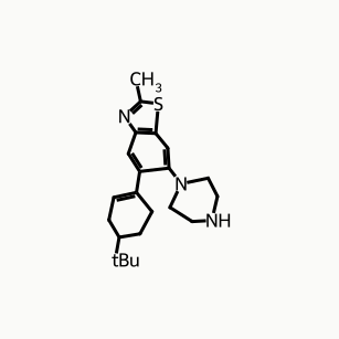 Cc1nc2cc(C3=CCC(C(C)(C)C)CC3)c(N3CCNCC3)cc2s1